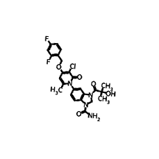 Cc1cc(OCc2ccc(F)cc2F)c(Cl)c(=O)n1-c1ccc2c(c1)N(C(=O)C(C)(C)O)CN2C(N)=O